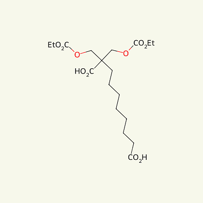 CCOC(=O)OCC(CCCCCCCC(=O)O)(COC(=O)OCC)C(=O)O